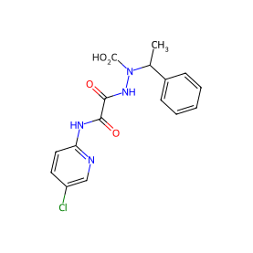 CC(c1ccccc1)N(NC(=O)C(=O)Nc1ccc(Cl)cn1)C(=O)O